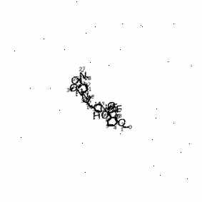 CCOc1cccc([C@@](O)(C(=O)N2CCC(CC3CN(c4ccc(C(=O)N(C)C)c(OC)n4)C3)CC2)C(F)(F)F)c1